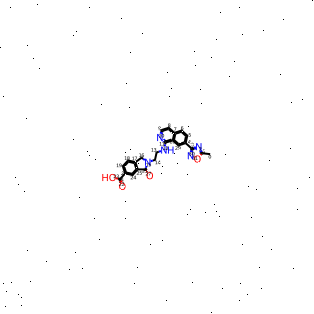 Cc1nc(-c2ccc3ccnc(NCCN4Cc5ccc(C(=O)O)cc5C4=O)c3c2)no1